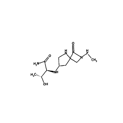 CPN1CC2(CC(N[C@H](C(N)=O)[C@@H](C)O)CN2)C1=O